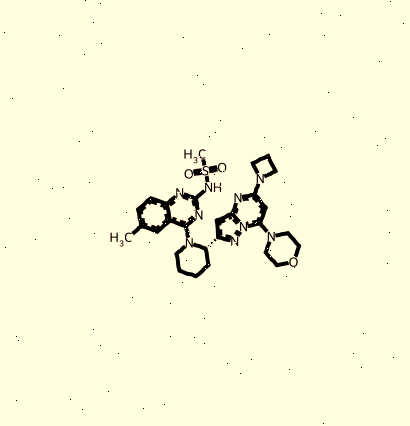 Cc1ccc2nc(NS(C)(=O)=O)nc(N3CCCC[C@H]3c3cc4nc(N5CCC5)cc(N5CCOCC5)n4n3)c2c1